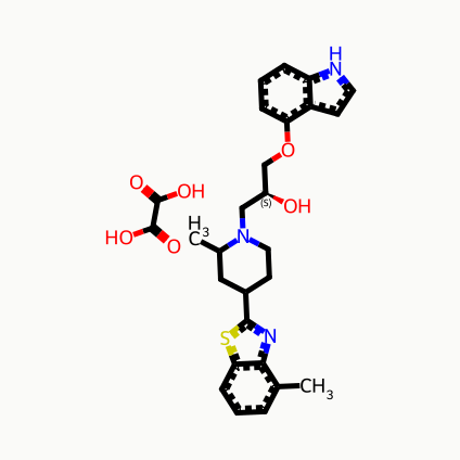 Cc1cccc2sc(C3CCN(C[C@H](O)COc4cccc5[nH]ccc45)C(C)C3)nc12.O=C(O)C(=O)O